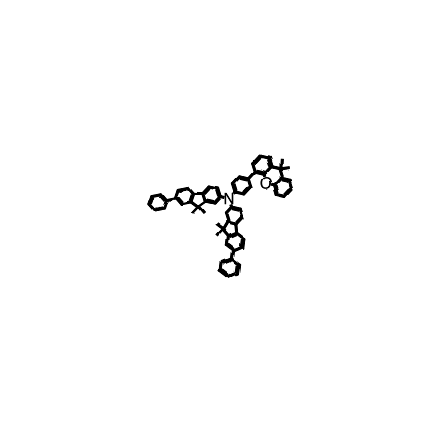 CC1(C)c2cc(-c3ccccc3)ccc2-c2ccc(N(c3ccc(-c4cccc5c4Oc4ccccc4C5(C)C)cc3)c3ccc4c(c3)C(C)(C)c3cc(-c5ccccc5)ccc3-4)cc21